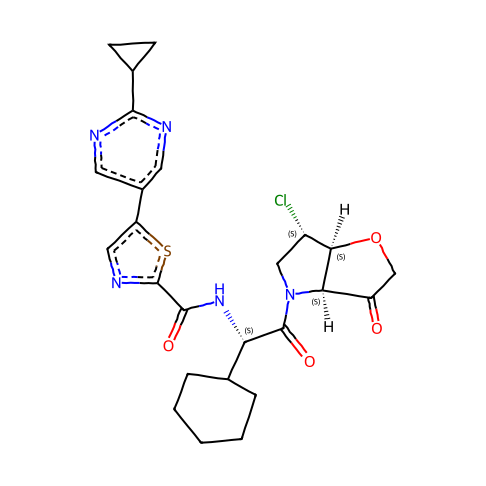 O=C(N[C@H](C(=O)N1C[C@H](Cl)[C@H]2OCC(=O)[C@H]21)C1CCCCC1)c1ncc(-c2cnc(C3CC3)nc2)s1